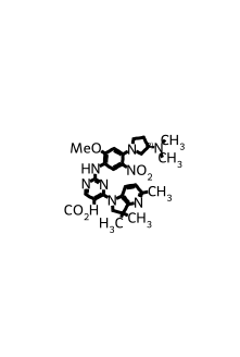 COc1cc(N2CC[C@@H](N(C)C)C2)c([N+](=O)[O-])cc1Nc1ncc(C(=O)O)c(N2CC(C)(C)c3nc(C)ccc32)n1